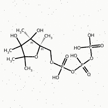 CC1(C)O[C@](C)(COP(=O)(O)OP(=O)(O)OP(=O)(O)O)[C@](C)(O)C1(C)O